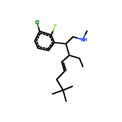 CCC(C=CCC(C)(C)C)C(CNC)c1cccc(Cl)c1F